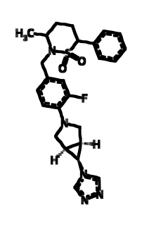 CC1CCC(c2ccccc2)S(=O)(=O)N1Cc1ccc(N2C[C@@H]3[C@H](C2)[C@@H]3n2cnnc2)c(F)c1